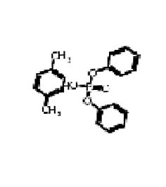 Cc1ccc(C)cc1.O=P(O)(Oc1ccccc1)Oc1ccccc1